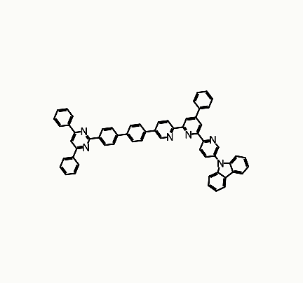 c1ccc(-c2cc(-c3ccc(-c4ccc(-c5ccc(-c6nc(-c7ccccc7)cc(-c7ccccc7)n6)cc5)cc4)cn3)nc(-c3ccc(-n4c5ccccc5c5ccccc54)cn3)c2)cc1